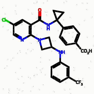 O=C(O)c1ccc(C2(NC(=O)c3cc(Cl)cnc3N3CC(Nc4cccc(C(F)(F)F)c4)C3)CC2)cc1